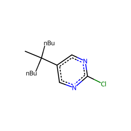 CCCCC(C)(CCCC)c1cnc(Cl)nc1